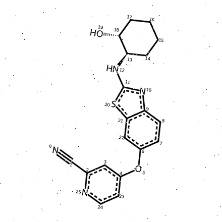 N#Cc1cc(Oc2ccc3nc(N[C@@H]4CCCC[C@H]4O)sc3c2)ccn1